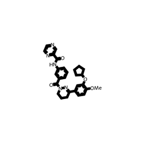 COc1ccc(C2=NN(C(=O)c3cccc(NC(=O)c4cnccn4)c3)CCC2)cc1OC1CCCC1